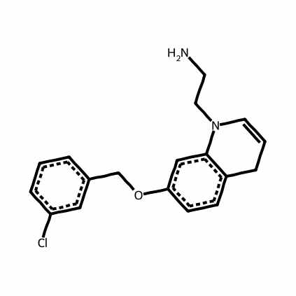 NCCN1C=CCc2ccc(OCc3cccc(Cl)c3)cc21